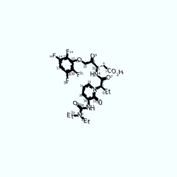 CCC(C(=O)N[C@@H](CC(=O)O)C(=O)COc1c(F)c(F)cc(F)c1F)n1cccc(NC(=O)N(CC)CC)c1=O